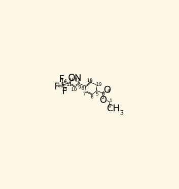 CCOC(=O)C1C=CC(c2cc(C(F)(F)F)on2)=CC1